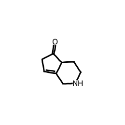 O=C1CC=C2CNCCC12